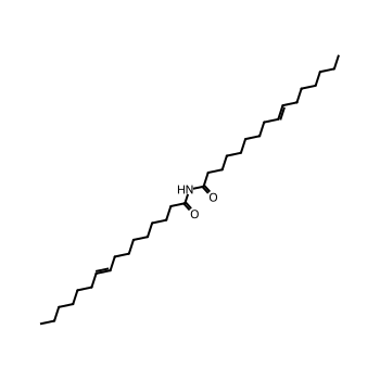 CCCCCCC=CCCCCCCCC(=O)NC(=O)CCCCCCCC=CCCCCCC